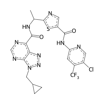 CC(NC(=O)c1ncnc2c1nnn2CC1CC1)c1ncc(C(=O)Nc2cc(C(F)(F)F)c(Cl)cn2)s1